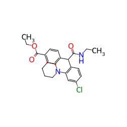 CCNC(=O)C(c1ccc(C(=O)OCC)cc1)c1ccc(Cl)cc1N1CCCCC1